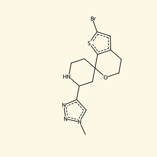 Cn1cc(C2CC3(CCN2)OCCc2cc(Br)sc23)nn1